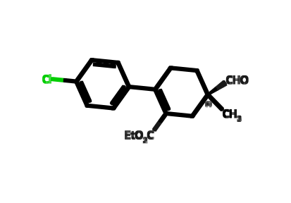 CCOC(=O)C1=C(c2ccc(Cl)cc2)CC[C@@](C)(C=O)C1